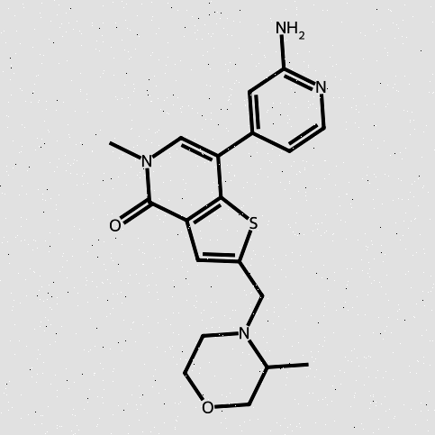 CC1COCCN1Cc1cc2c(=O)n(C)cc(-c3ccnc(N)c3)c2s1